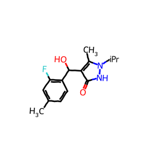 Cc1ccc(C(O)c2c(C)n(C(C)C)[nH]c2=O)c(F)c1